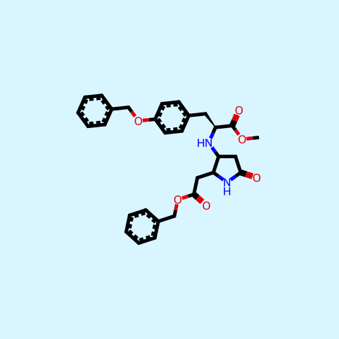 COC(=O)[C@H](Cc1ccc(OCc2ccccc2)cc1)NC1CC(=O)NC1CC(=O)OCc1ccccc1